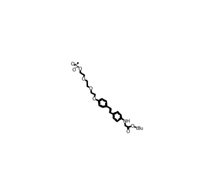 CC(C)(C)OC(=O)CNc1ccc(C=Cc2ccc(OCCOCCOCCOS(C)(=O)=O)cc2)cc1